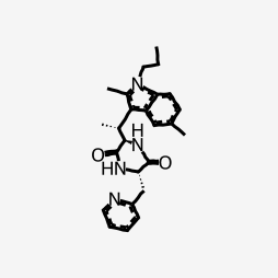 CCCn1c(C)c([C@@H](C)[C@H]2NC(=O)[C@H](Cc3ccccn3)NC2=O)c2cc(C)ccc21